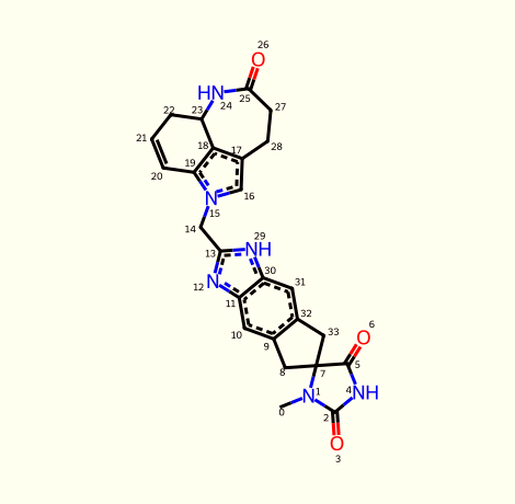 CN1C(=O)NC(=O)C12Cc1cc3nc(Cn4cc5c6c4C=CCC6NC(=O)CC5)[nH]c3cc1C2